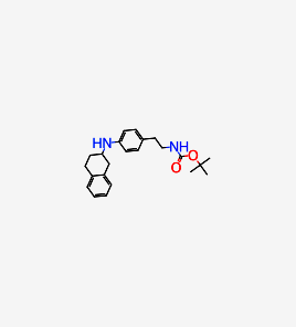 CC(C)(C)OC(=O)NCCc1ccc(NC2CCc3ccccc3C2)cc1